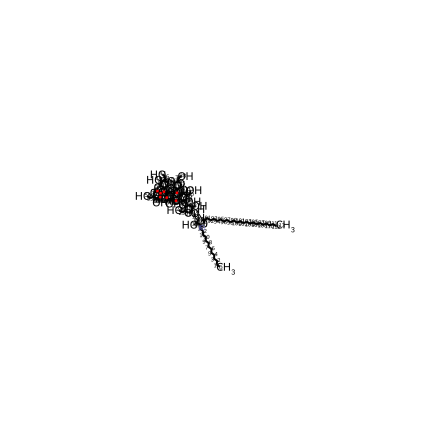 CCCCCCCCCCCCC/C=C/[C@@H](O)[C@H](CO[C@@H]1OC(CO)[C@@H](O[C@@H]2OC(CO)[C@H](O[C@@H]3OC(CO)[C@H](O)[C@H](O[C@@H]4OC(CO)[C@H](O)[C@H](O[C@@H]5OC(CO)[C@H](O)[C@H](O)C5O[C@H]5OC(C)[C@@H](O)C(O)[C@@H]5O)C4NC(C)=O)C3O)[C@H](O)C2O)[C@H](O)C1O)NC(=O)CCCCCCCCCCCCCCCCCCCCCCC